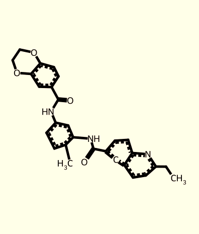 CCc1ccc2cc(C(=O)Nc3cc(NC(=O)c4ccc5c(c4)OCCO5)ccc3C)ccc2n1